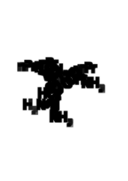 CCCN(CCC)CC(O)Cn1c(=O)n(CC(O)CN(CCC)CCN)c(=O)n(CC(O)CN(CCN)CCN)c1=O